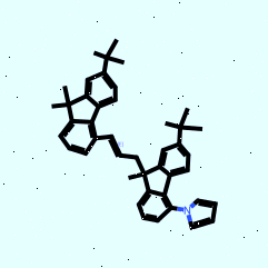 CC(C)(C)c1ccc2c(c1)C(C)(C)c1cccc(/C=C/CC3(C)c4cc(C(C)(C)C)ccc4-c4c(-n5cccc5)cccc43)c1-2